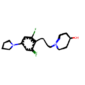 OC1CCN(CCc2c(F)cc(N3CCCC3)cc2F)CC1